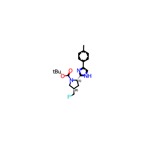 Cc1ccc(-c2c[nH]c([C@@H]3C[C@@H](CF)CN3C(=O)OC(C)(C)C)n2)cc1